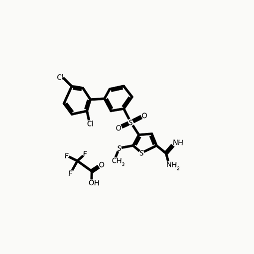 CSc1sc(C(=N)N)cc1S(=O)(=O)c1cccc(-c2cc(Cl)ccc2Cl)c1.O=C(O)C(F)(F)F